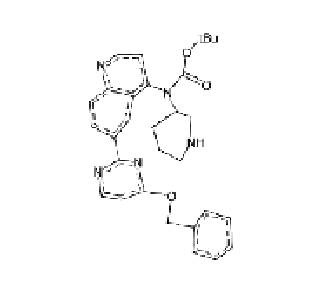 CC(C)(C)OC(=O)N(c1ccnc2ccc(-c3nccc(OCc4ccccc4)n3)cc12)C1CCCNC1